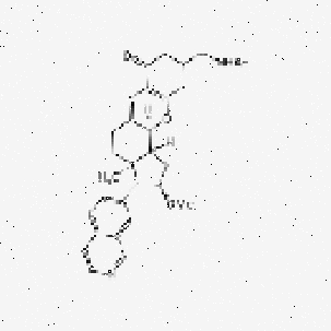 CO[C@@H]1C[C@H]2[C@@H]3OC4=C(C=C3CC[C@]2(C)[C@H]1c1ccc2ccncc2c1)C(=O)CC(CNC(C)=O)C4